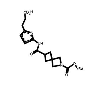 CC(C)(C)OC(=O)N1CC2(CC(C(=O)Nc3ccc(CCC(=O)O)s3)C2)C1